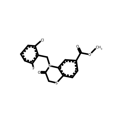 COC(=O)c1ccc2c(c1)N(Cc1c(F)cccc1Cl)C(=O)CS2